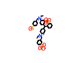 CCN(Cc1ccc(SOC)cc1)c1ccc(C(=C2C=CC(=[N+](CC)Cc3cccc(S(=O)(=O)OC)c3)C=C2)c2ccccc2S(=O)(=O)OC)cc1